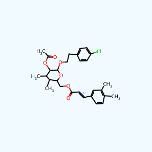 CC(=O)OC1C(OCCc2ccc(Cl)cc2)OC(COC(=O)/C=C/c2ccc(C)c(C)c2)C(C)C1C